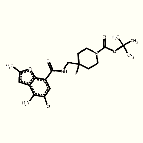 Cc1cc2c(N)c(Cl)cc(C(=O)NCC3(F)CCN(C(=O)OC(C)(C)C)CC3)c2o1